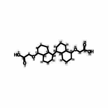 O=C(O)COC1CCCC2C1CCCC2C1CCCC2C(OCC(=O)O)CCCC21